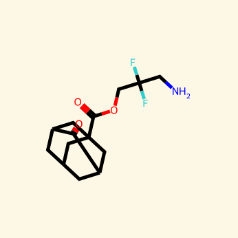 NCC(F)(F)COC(=O)C12CC3CC(C1)C(=O)C(C3)C2